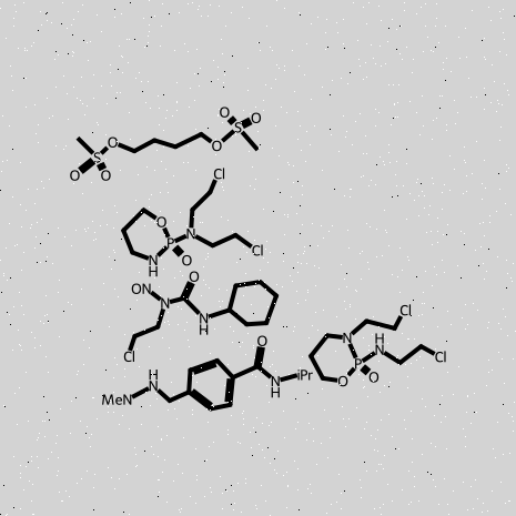 CNNCc1ccc(C(=O)NC(C)C)cc1.CS(=O)(=O)OCCCCOS(C)(=O)=O.O=NN(CCCl)C(=O)NC1CCCCC1.O=P1(N(CCCl)CCCl)NCCCO1.O=P1(NCCCl)OCCCN1CCCl